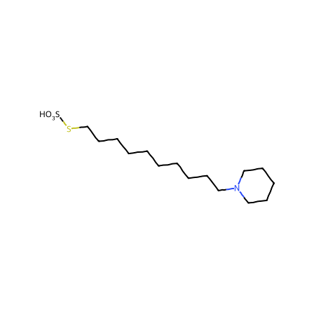 O=S(=O)(O)SCCCCCCCCCCN1CCCCC1